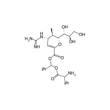 CC(C)C(OC(=O)C1=C[C@H](NC(=N)N)[C@@H](C)[C@H]([C@H](O)[C@H](O)CO)O1)OC(=O)C(N)C(C)C